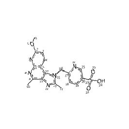 COc1ccc2c(n1)nc(C)c1nc(C)n(Cc3ccc(S(=O)(=O)O)cn3)c12